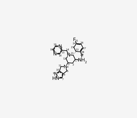 NC1CC(N2Cc3c[nH]nc3C2)CN(Cc2cnccn2)[C@@H]1C1CC(F)=CC=C1F